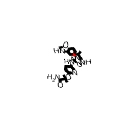 CC1=C2NOC(Nc3ccc(OC(C)(C)C(N)=O)nc3)(N=C1)N2c1ccc2c(c1)NCO2